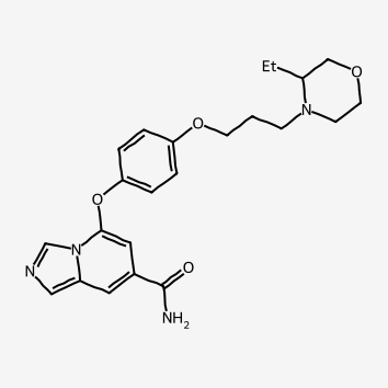 CCC1COCCN1CCCOc1ccc(Oc2cc(C(N)=O)cc3cncn23)cc1